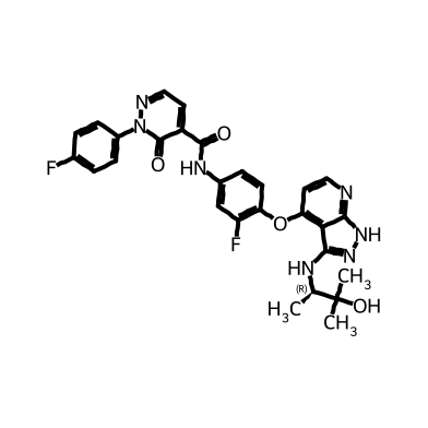 C[C@@H](Nc1n[nH]c2nccc(Oc3ccc(NC(=O)c4ccnn(-c5ccc(F)cc5)c4=O)cc3F)c12)C(C)(C)O